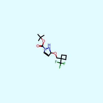 CC(C)(C)OC(=O)N1C=CC(OCC2(C(F)(F)F)CCC2)N1